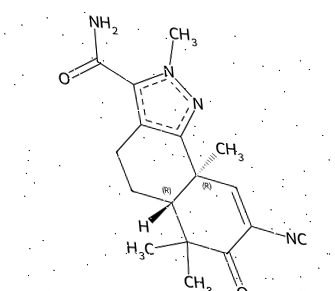 [C-]#[N+]C1=C[C@]2(C)c3nn(C)c(C(N)=O)c3CC[C@H]2C(C)(C)C1=O